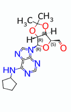 CC1(C)O[C@@H]2[C@@H](O1)[C@@H](C=O)O[C@H]2n1cnc2c(NC3CCCC3)ncnc21